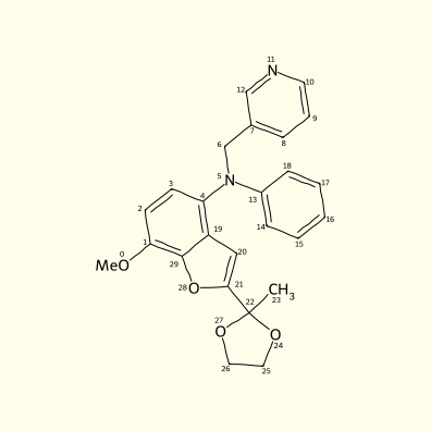 COc1ccc(N(Cc2cccnc2)c2ccccc2)c2cc(C3(C)OCCO3)oc12